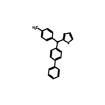 Cc1ccc(N(c2ccc(-c3ccccc3)cc2)c2cccs2)cc1